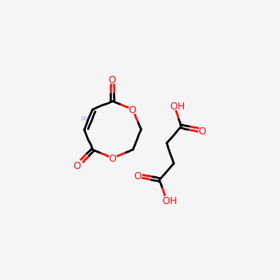 O=C(O)CCC(=O)O.O=C1/C=C\C(=O)OCCO1